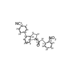 N#Cc1ccc(-c2cncc3c2CCN3C(=O)Cc2ccccc2[N+](=O)[O-])cc1